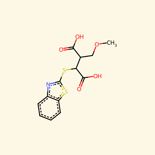 COCC(C(=O)O)C(Sc1nc2ccccc2s1)C(=O)O